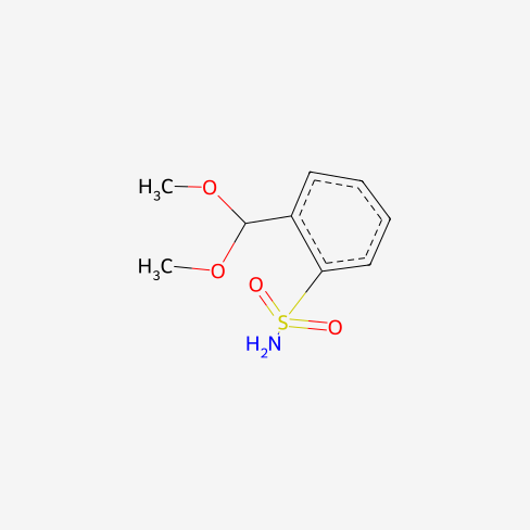 COC(OC)c1ccccc1S(N)(=O)=O